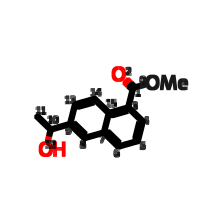 COC(=O)c1cccc2cc(C(C)O)ccc12